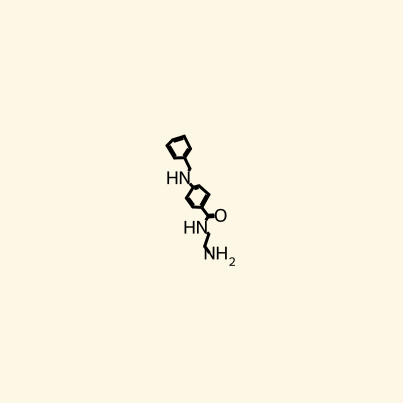 NCCNC(=O)c1ccc(NCc2ccccc2)cc1